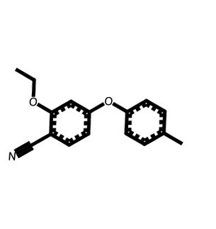 CCOc1cc(Oc2ccc(C)cc2)ccc1C#N